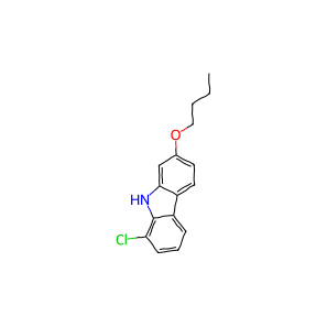 CCCCOc1ccc2c(c1)[nH]c1c(Cl)cccc12